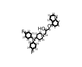 OC(COc1cccc2ncccc12)CN1CCC(N(c2ccc(F)cc2)c2ccc(F)cc2)CC1